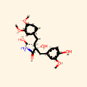 COc1cc(C[C@@](O)(C(N)=O)[C@H](CO)Cc2ccc(OC)c(OC)c2)ccc1O